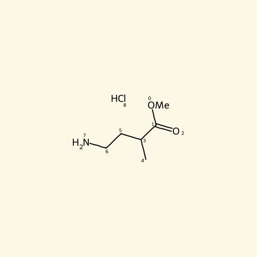 COC(=O)C(C)CCN.Cl